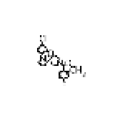 Cc1cc(F)ccc1C(=O)N1CCC2(CC1)Oc1cc(Cl)ccc1-n1cccc12